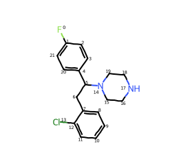 Fc1ccc(C(Cc2ccccc2Cl)N2CCNCC2)cc1